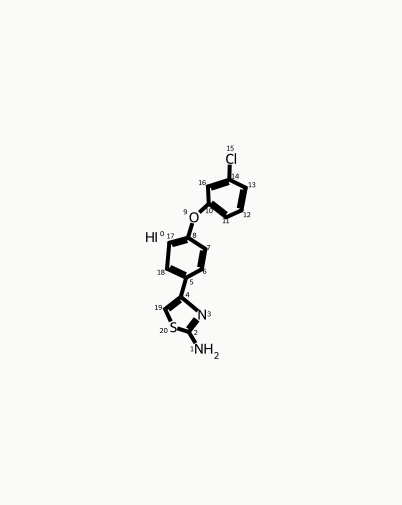 I.Nc1nc(-c2ccc(Oc3cccc(Cl)c3)cc2)cs1